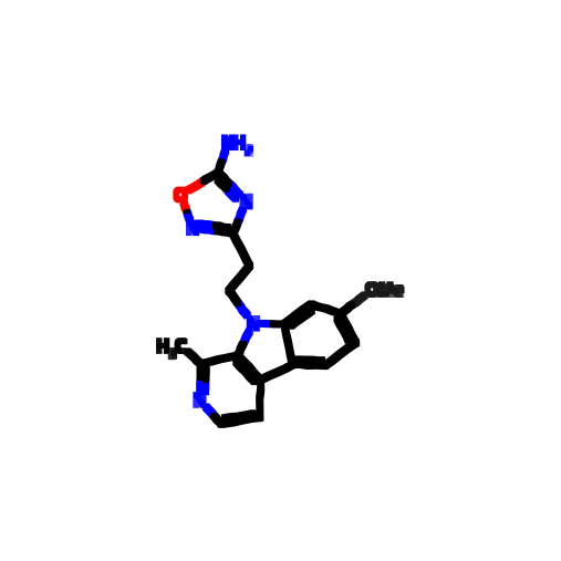 COc1ccc2c3ccnc(C)c3n(CCc3noc(N)n3)c2c1